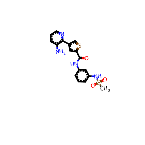 CS(=O)(=O)Nc1cccc(NC(=O)c2cc(-c3ncccc3N)cs2)c1